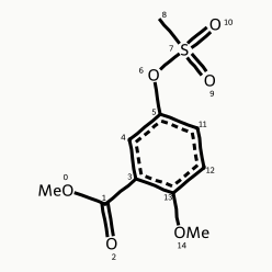 COC(=O)c1cc(OS(C)(=O)=O)ccc1OC